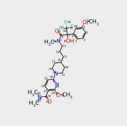 COc1cccc(C(O)(C(=O)N(C)CCCC2CCN(c3ccc(C(=O)N(C)C)c(OC)n3)CC2)C(F)(F)F)c1